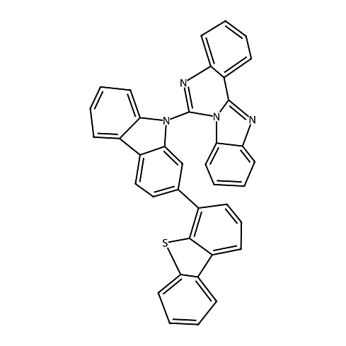 c1ccc2c(c1)nc(-n1c3ccccc3c3ccc(-c4cccc5c4sc4ccccc45)cc31)n1c3ccccc3nc21